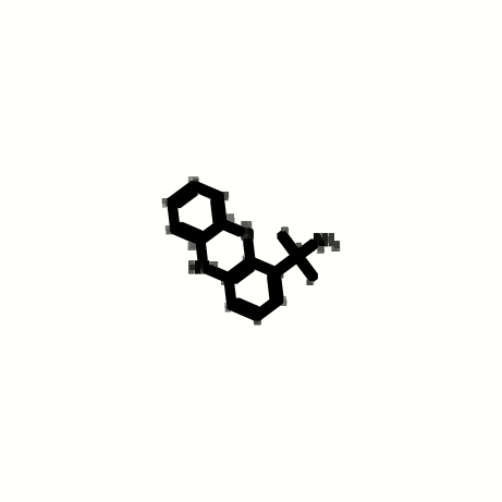 CC(C)(N)c1cccc2c1Oc1ccccc1N2